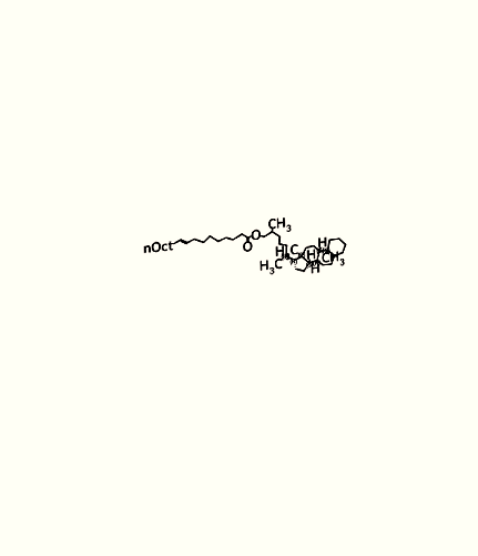 CCCCCCCCC=CCCCCCCCC(=O)OCC(C)CCC[C@@H](C)[C@H]1CC[C@H]2[C@@H]3CCC4CCCC[C@]4(C)[C@H]3CC[C@]12C